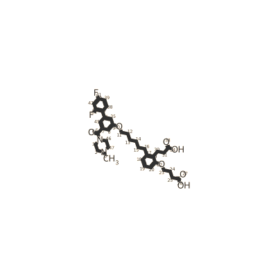 CN1CCN(C(=O)c2cc(OCCCCCCc3cccc(OCCCC(=O)O)c3CCC(=O)O)cc(-c3ccc(F)cc3F)c2)CC1